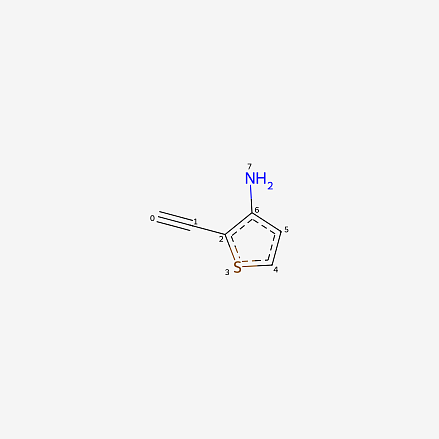 C#Cc1sccc1N